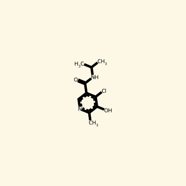 Cc1ncc(C(=O)NC(C)C)c(Cl)c1O